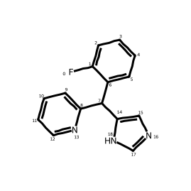 Fc1ccccc1C(c1ccccn1)c1cnc[nH]1